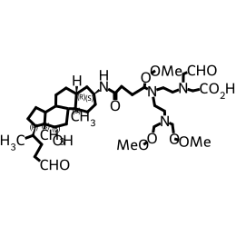 COOCN(CCN(CCN(CC=O)CC(=O)O)C(CCC(=O)N[C@H]1CC[C@]2(C)C3C[C@H](O)[C@@]4(C)C(CC[C@@H]4C(C)CCC=O)C3CC[C@@H]2C1)OOC)COOC